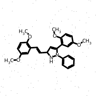 COc1ccc(OC)c(C=CC2C=C(c3cc(OC)ccc3OC)N(c3ccccc3)N2)c1